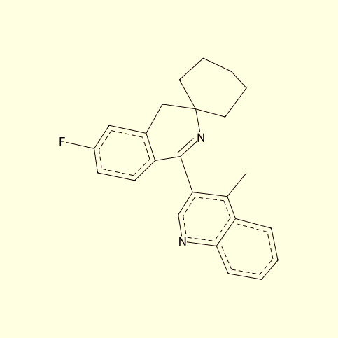 Cc1c(C2=NC3(CCCCC3)Cc3cc(F)ccc32)cnc2ccccc12